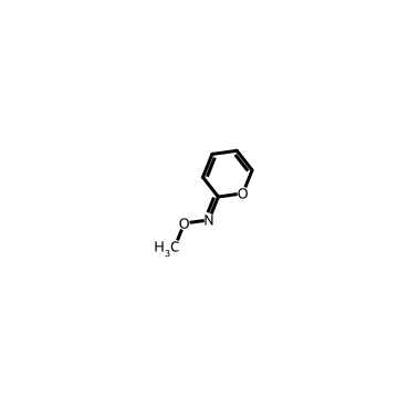 CON=c1cccco1